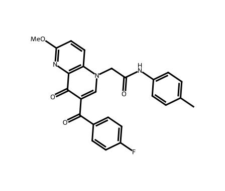 COc1ccc2c(n1)c(=O)c(C(=O)c1ccc(F)cc1)cn2CC(=O)Nc1ccc(C)cc1